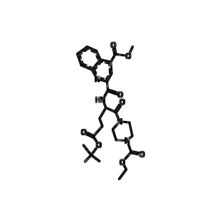 CCOC(=O)N1CCN(C(=O)C(CCC(=O)OC(C)(C)C)NC(=O)c2cc(C(=O)OC)c3ccccc3n2)CC1